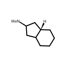 CNC1CC2CCCC[C@H]2C1